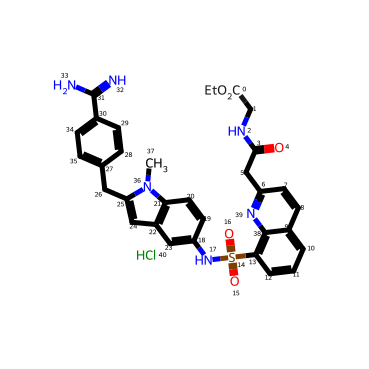 CCOC(=O)CNC(=O)Cc1ccc2cccc(S(=O)(=O)Nc3ccc4c(c3)cc(Cc3ccc(C(=N)N)cc3)n4C)c2n1.Cl